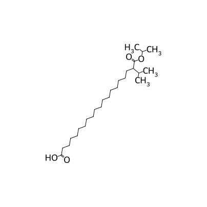 CC(C)OC(=O)C(CCCCCCCCCCCCCCCCCC(=O)O)C(C)C